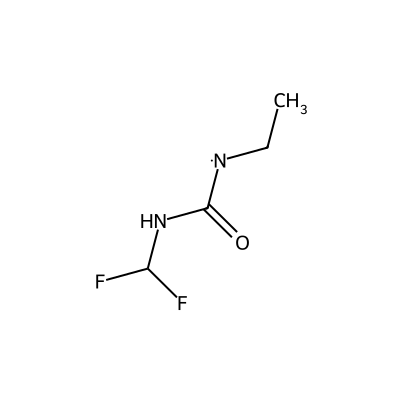 CC[N]C(=O)NC(F)F